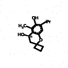 Cc1c(O)c(C(C)C)cc2c1[C@H](O)CC1(CCC1)O2